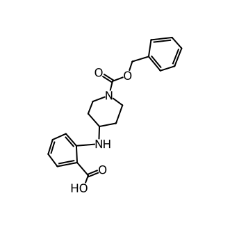 O=C(O)c1ccccc1NC1CCN(C(=O)OCc2ccccc2)CC1